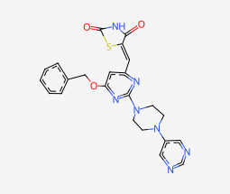 O=C1NC(=O)/C(=C/c2cc(OCc3ccccc3)nc(N3CCN(c4cncnc4)CC3)n2)S1